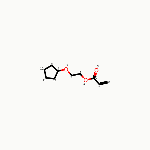 C=CC(=O)OCCOC1CCCC1